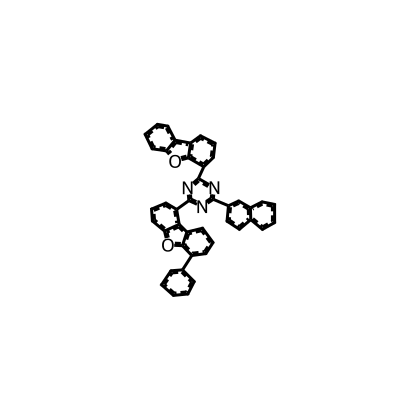 c1ccc(-c2cccc3c2oc2cccc(-c4nc(-c5ccc6ccccc6c5)nc(-c5cccc6c5oc5ccccc56)n4)c23)cc1